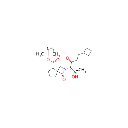 C[C@@H](O)[C@@H](C(=O)CCC1CCC1)N1CC2(CCCC2C(=O)OC(C)(C)C)C1=O